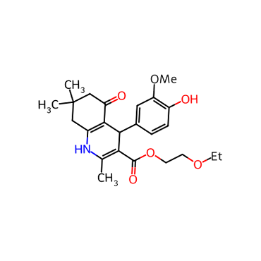 CCOCCOC(=O)C1=C(C)NC2=C(C(=O)CC(C)(C)C2)C1c1ccc(O)c(OC)c1